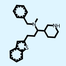 CN(Cc1ccccc1)C(CCc1cc2ccccc2s1)C1CCCNC1